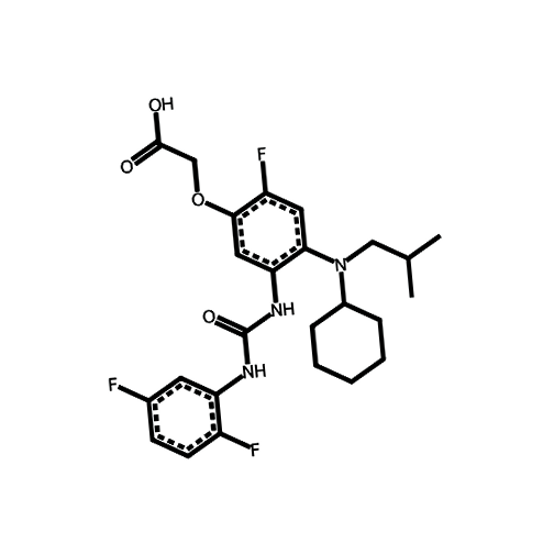 CC(C)CN(c1cc(F)c(OCC(=O)O)cc1NC(=O)Nc1cc(F)ccc1F)C1CCCCC1